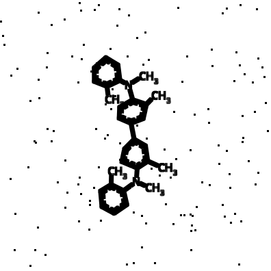 Cc1ccccc1N(C)c1ccc(-c2ccc(N(C)c3ccccc3C)c(C)c2)cc1C